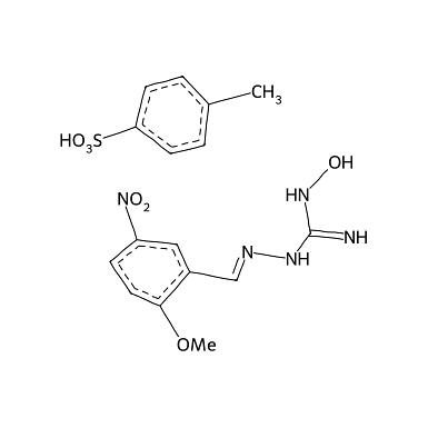 COc1ccc([N+](=O)[O-])cc1/C=N/NC(=N)NO.Cc1ccc(S(=O)(=O)O)cc1